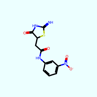 N=C1NC(=O)C(CC(=O)Nc2cccc([N+](=O)[O-])c2)S1